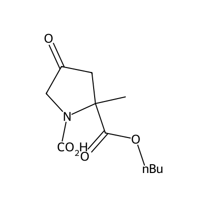 CCCCOC(=O)C1(C)CC(=O)CN1C(=O)O